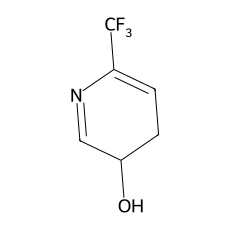 OC1C=NC(C(F)(F)F)=CC1